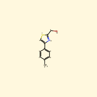 FC(F)(F)c1ccc(-c2csc(CBr)n2)cc1